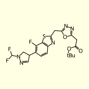 CC(C)(C)OC(=O)Cc1nnc(Cc2nc3ccc(C4C=NN(C(F)F)C4)c(F)c3s2)o1